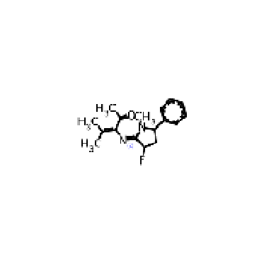 CC(=O)C(/N=C1/C(F)CC(c2ccccc2)N1C)=C(C)C